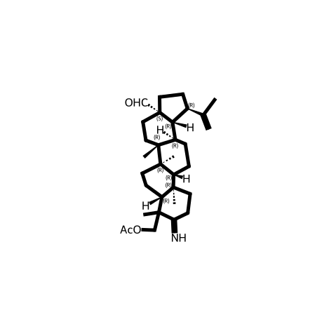 C=C(C)[C@@H]1CC[C@]2(C=O)CC[C@]3(C)[C@H](CC[C@@H]4[C@@]5(C)CCC(=N)C(C)(COC(C)=O)[C@@H]5CC[C@]43C)[C@@H]12